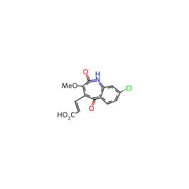 COc1c(/C=C/C(=O)O)c(=O)c2ccc(Cl)cc2[nH]c1=O